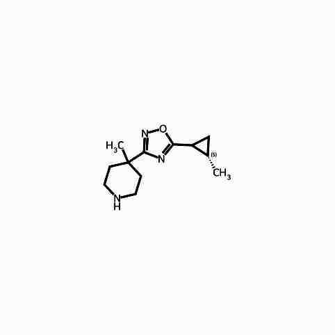 C[C@H]1CC1c1nc(C2(C)CCNCC2)no1